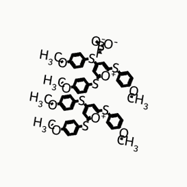 COc1ccc(Sc2cc(Sc3ccc(OC)cc3)[o+]c(Sc3ccc(OC)cc3)c2)cc1.COc1ccc(Sc2cc(Sc3ccc(OC)cc3)[o+]c(Sc3ccc(OC)cc3)c2)cc1.[O-]B([O-])F